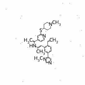 C=Cc1ccc(-c2cncn2C)cc1/C=C(\C)NC(=C)c1ccnc(SC2CCN(C)CC2)c1